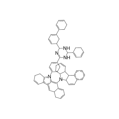 C1=CCCC(C2=CC=CC(C3N=C(C4=CC=C(n5c6c(c7c5=C(N5C8C=Cc9ccccc9C8C8C=CCCC85)C5=CC=CCC5C=7)C=CCC6)CC4)NC(C4=CC=CCC4)N3)C2)=C1